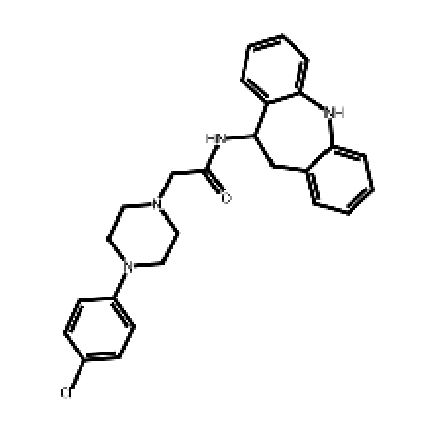 O=C(CN1CCN(c2ccc(Cl)cc2)CC1)NC1Cc2ccccc2Nc2ccccc21